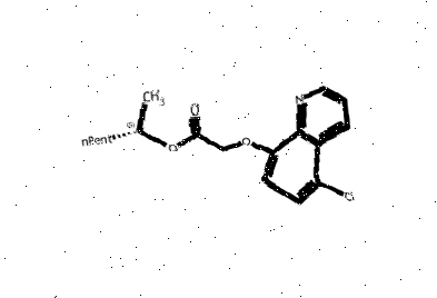 CCCCC[C@H](C)OC(=O)COc1ccc(Cl)c2cccnc12